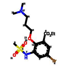 CCOC(=O)c1cc(Br)cc(NS(C)(=O)=O)c1OCCCN(C)C